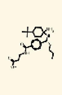 CCCC[C@@H](NC1(N)CCC(C(C)(C)C)CC1)c1ccc(C(=O)NCCC(=O)O)cc1